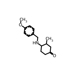 COc1ccc(CNC2CCC(=O)CC2C)cc1